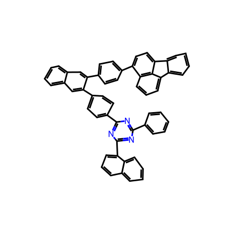 c1ccc(-c2nc(-c3ccc(-c4cc5ccccc5cc4-c4ccc(-c5ccc6c7c(cccc57)-c5ccccc5-6)cc4)cc3)nc(-c3cccc4ccccc34)n2)cc1